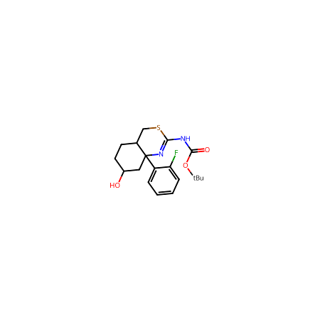 CC(C)(C)OC(=O)NC1=NC2(c3ccccc3F)CC(O)CCC2CS1